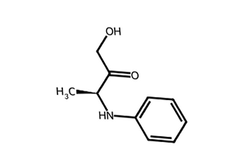 C[C@H](Nc1ccccc1)C(=O)CO